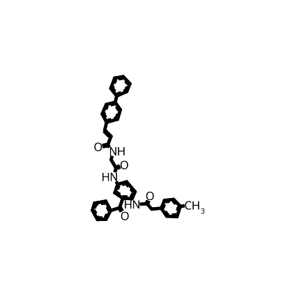 Cc1ccc(CC(=O)Nc2ccc(NC(=O)CNC(=O)/C=C/c3ccc(-c4ccccc4)cc3)cc2C(=O)c2ccccc2)cc1